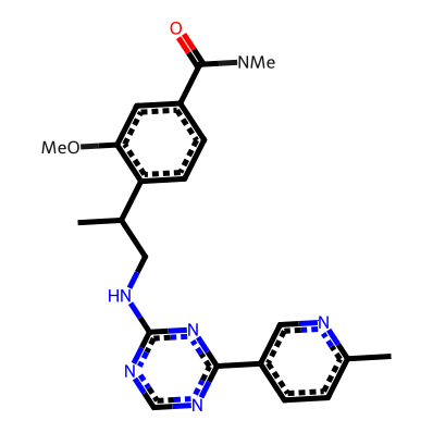 CNC(=O)c1ccc(C(C)CNc2ncnc(-c3ccc(C)nc3)n2)c(OC)c1